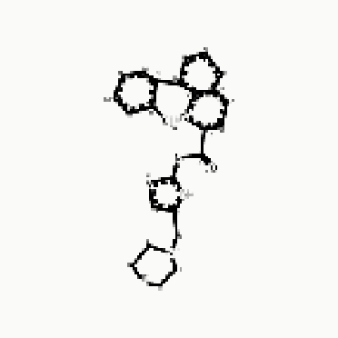 O=C(Nc1nc(CN2CCOCC2)cs1)c1ccc2cccc(-c3ccccc3Cl)c2n1